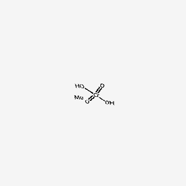 [Mo].[O]=[Cr](=[O])([OH])[OH]